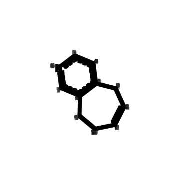 C1=CCc2ccncc2CC1